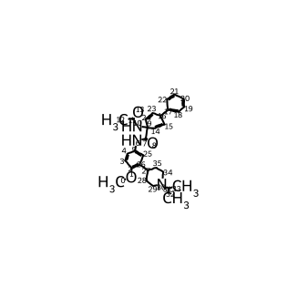 COc1ccc(NC(=O)C2(NC(C)=O)C=CC(c3ccccc3)C=C2)cc1C1CCN(C(C)C)CC1